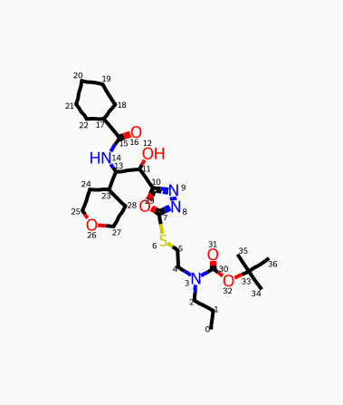 CCCN(CCSc1nnc(C(O)C(NC(=O)C2CCCCC2)C2CCOCC2)o1)C(=O)OC(C)(C)C